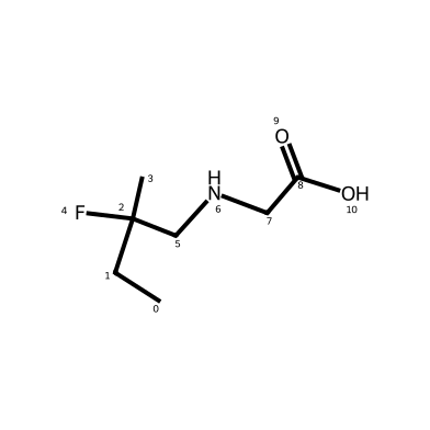 CCC(C)(F)CNCC(=O)O